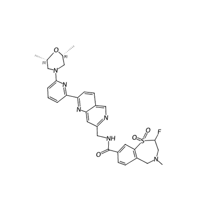 C[C@@H]1CN(c2cccc(-c3ccc4cnc(CNC(=O)c5ccc6c(c5)S(=O)(=O)C(F)CN(C)C6)cc4n3)n2)C[C@H](C)O1